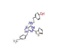 C/C=N\c1c(NCCc2ccc(O)cc2)nc(-c2csc3ccccc23)nc1NCc1ccc(C(F)(F)F)cc1